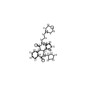 O=C(NCCCN1CCOCC1)C1c2ccccc2C(=O)N(C2CCCC2)C1c1cccs1